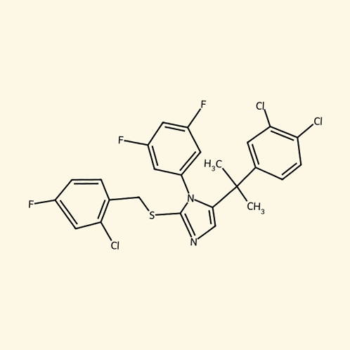 CC(C)(c1ccc(Cl)c(Cl)c1)c1cnc(SCc2ccc(F)cc2Cl)n1-c1cc(F)cc(F)c1